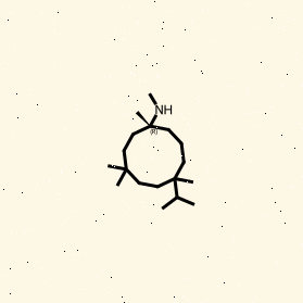 CN[C@]1(C)CCCC(C)(C(C)C)CCC(C)(C)CC1